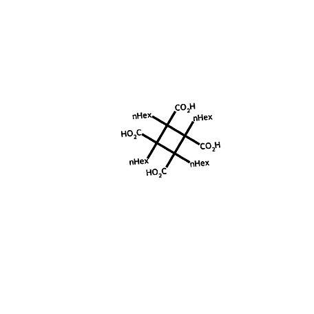 CCCCCCC1(C(=O)O)C(CCCCCC)(C(=O)O)C(CCCCCC)(C(=O)O)C1(CCCCCC)C(=O)O